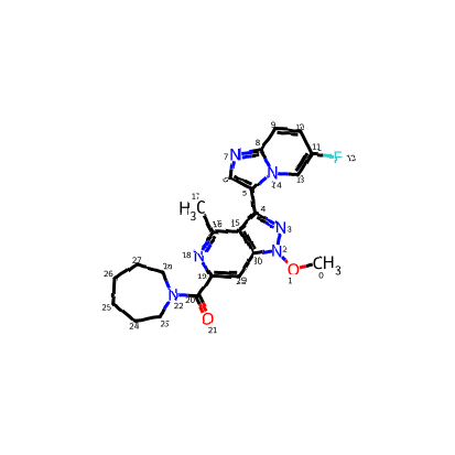 COn1nc(-c2cnc3ccc(F)cn23)c2c(C)nc(C(=O)N3CCCCCC3)cc21